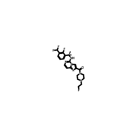 C[C@@H](Nc1nccc2nc(C(=O)N3CCN(CCF)CC3)cn12)c1cccc(C(F)F)c1F